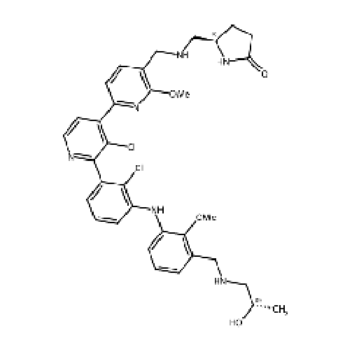 COc1nc(-c2ccnc(-c3cccc(Nc4cccc(CNC[C@H](C)O)c4OC)c3Cl)c2Cl)ccc1CNC[C@H]1CCC(=O)N1